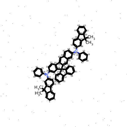 CC1(C)c2ccccc2-c2ccc(N(c3ccccc3)c3ccc4c(c3)C3(c5ccccc5-c5ccccc53)c3cc5cc(N(c6ccccc6)c6ccc7c(c6)C(C)(C)c6ccccc6-7)ccc5cc3-4)cc21